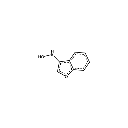 OBc1coc2ccccc12